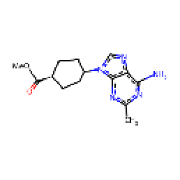 COC(=O)[C@H]1CC[C@@H](n2cnc3c(N)nc(C)nc32)CC1